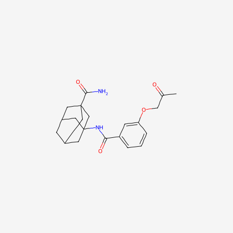 CC(=O)COc1cccc(C(=O)NC23CC4CC(C2)CC(C(N)=O)(C4)C3)c1